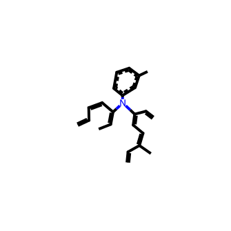 C=C/C=C\C(=C/C)N(/C(C=C)=C/C=C(/C)C=C)c1cccc(C)c1